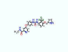 CNC(=O)c1cc(Oc2ccc(NC(=O)Nc3cccc(OCC4CCCN4)c3C(F)(F)F)cc2)ccn1